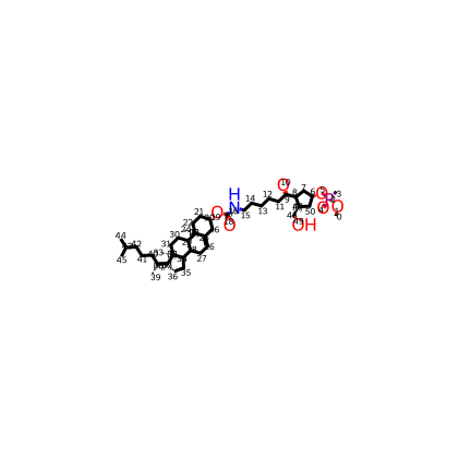 COP(C)(=O)OC1CC(C(=O)CCCCCNC(=O)OC2CC[C@@]3(C)C(=CCC4C3CC[C@@]3(C)C4CC[C@@H]3[C@H](C)CCCC(C)C)C2)[C@H](CO)C1